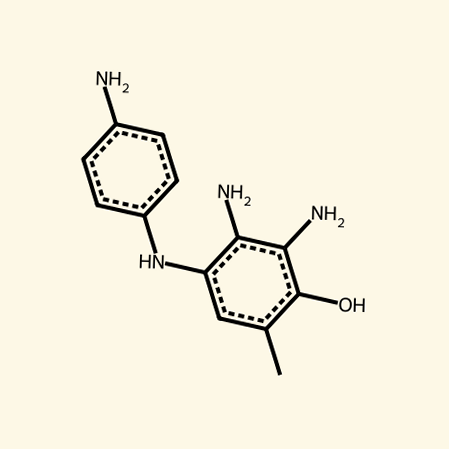 Cc1cc(Nc2ccc(N)cc2)c(N)c(N)c1O